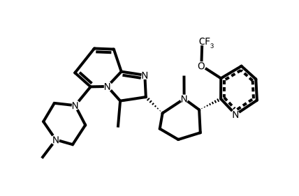 CC1C([C@H]2CCC[C@@H](c3ncccc3OC(F)(F)F)N2C)N=C2C=CC=C(N3CCN(C)CC3)N21